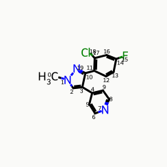 Cn1cc(-c2ccncc2)c(-c2ccc(F)cc2Cl)n1